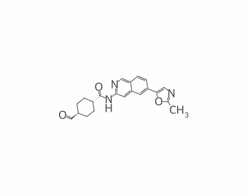 Cc1ncc(-c2ccc3cnc(NC(=O)[C@H]4CC[C@H](C=O)CC4)cc3c2)o1